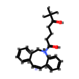 CC(C)(C)C(=O)CCCC(=O)N1Cc2ccccc2/C=C\c2ccccc21